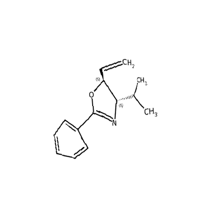 C=C[C@@H]1OC(c2ccccc2)=N[C@H]1C(C)C